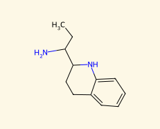 CCC(N)C1CCc2ccccc2N1